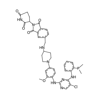 COc1cc(N2CCC(NCc3ccc4c(c3)C(=O)N(C3CCC(=O)NC3=O)C4=O)CC2)ccc1Nc1ncc(Cl)c(Nc2ccccc2P(C)C)n1